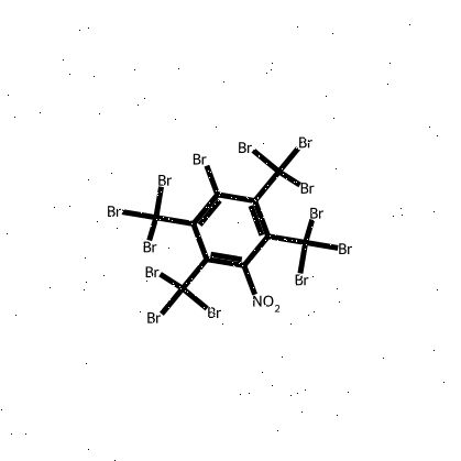 O=[N+]([O-])c1c(C(Br)(Br)Br)c(C(Br)(Br)Br)c(Br)c(C(Br)(Br)Br)c1C(Br)(Br)Br